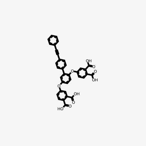 O=C(O)c1ccc(Oc2ccc(Oc3ccc(C(=O)O)c(C(=O)O)c3)c(-c3ccc(C#Cc4ccccc4)cc3)c2)cc1C(=O)O